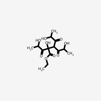 CCOC(=O)C(O)(C(=O)C(C)O)C(C(=O)C(C)O)C(=O)C(C)O